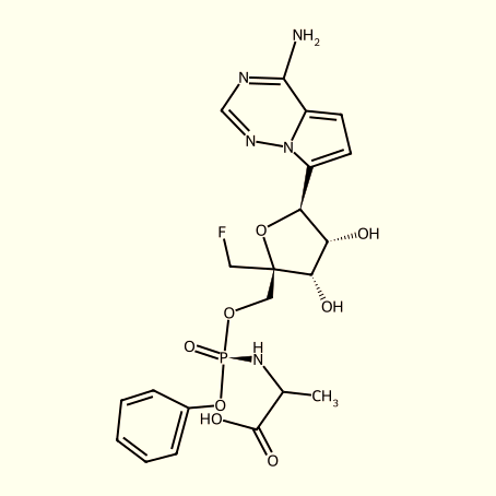 CC(N[P@@](=O)(OC[C@@]1(CF)O[C@@H](c2ccc3c(N)ncnn23)[C@H](O)[C@@H]1O)Oc1ccccc1)C(=O)O